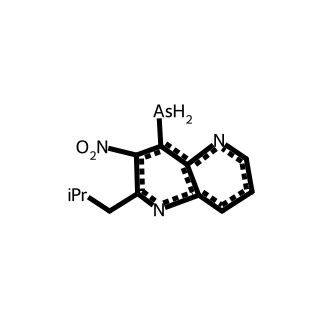 CC(C)Cc1nc2cccnc2c([AsH2])c1[N+](=O)[O-]